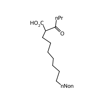 CCCCCCCCCCCCCCCCC(C(=O)O)C(=O)CCC